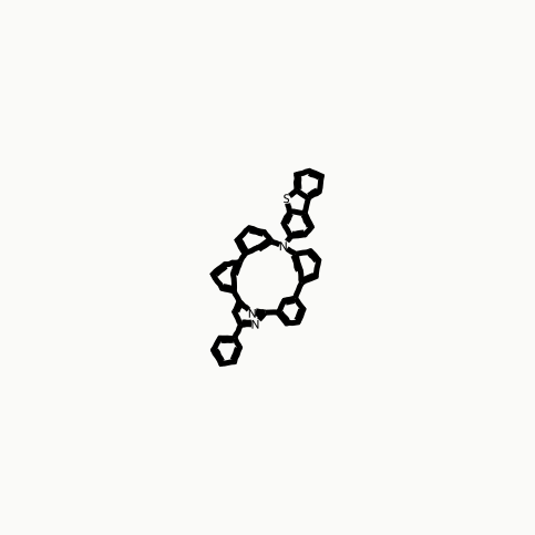 c1ccc(-c2cc3nc(n2)-c2cccc(c2)-c2cccc(c2)N(c2ccc4c(c2)sc2ccccc24)c2cccc(c2)-c2cccc-3c2)cc1